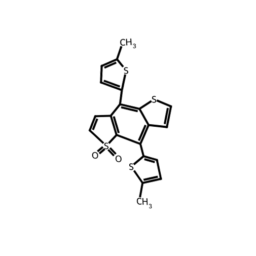 Cc1ccc(-c2c3c(c(-c4ccc(C)s4)c4sccc24)C=CS3(=O)=O)s1